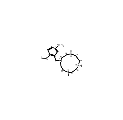 COc1ccc(N)cc1CN1CCNCCNCCNCC1